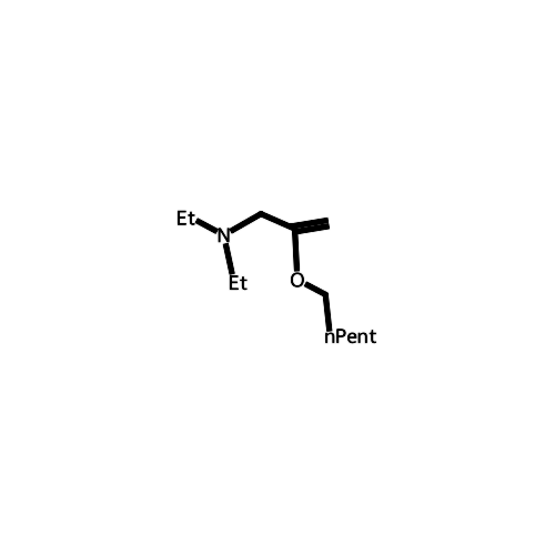 C=C(CN(CC)CC)OCCCCCC